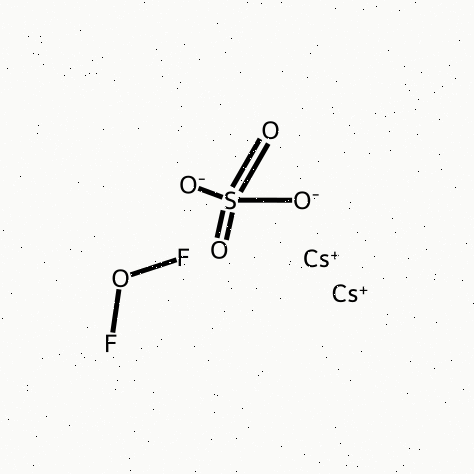 FOF.O=S(=O)([O-])[O-].[Cs+].[Cs+]